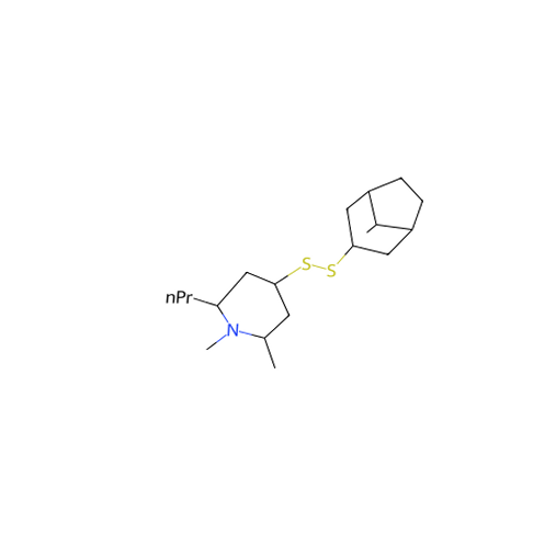 CCCC1CC(SSC2CC3CCC(C2)C3C)CC(C)N1C